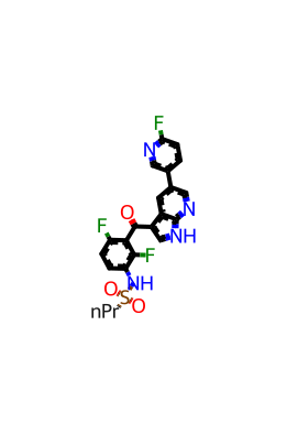 CCCS(=O)(=O)Nc1ccc(F)c(C(=O)c2c[nH]c3ncc(-c4ccc(F)nc4)cc23)c1F